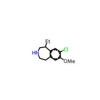 CCC1CNCCc2cc(OC)c(Cl)cc21